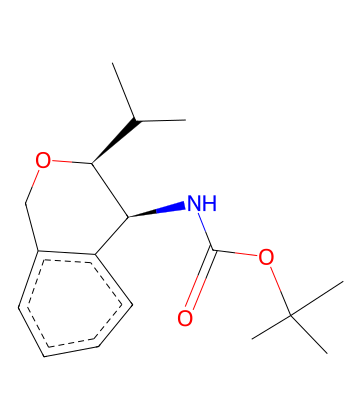 CC(C)[C@@H]1OCc2ccccc2[C@@H]1NC(=O)OC(C)(C)C